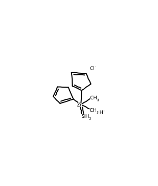 [CH3][Zr]([CH3])(=[SiH2])([C]1=CC=CC1)[C]1=CC=CC1.[Cl-].[H-]